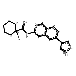 O=C(Nc1cc2cc(-c3cn[nH]c3)ccc2cn1)C1(F)CCCCC1